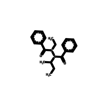 CCC(C)N(C(=O)c1ccccc1)N(CC)C(=O)c1ccccc1